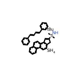 C(C=Cc1ccccc1)=Cc1ccccc1.CC(C)(C)[NH][Ti]([CH3])([CH3])[C]1=Cc2c(ccc3c2ccc2ccccc23)C1.[SiH4]